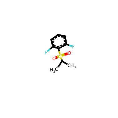 CC(C)S(=O)(=O)c1c(F)cccc1F